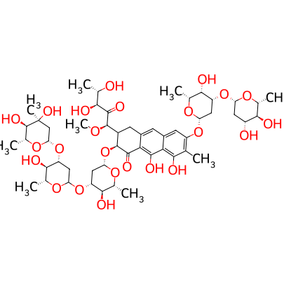 CO[C@@H](C(=O)[C@@H](O)[C@H](C)O)C1Cc2cc3cc(O[C@H]4C[C@@H](O[C@H]5C[C@@H](O)[C@H](O)[C@@H](C)O5)[C@@H](O)[C@@H](C)O4)c(C)c(O)c3c(O)c2C(=O)[C@H]1O[C@H]1C[C@@H](OC2C[C@@H](O[C@H]3C[C@](C)(O)[C@H](O)[C@@H](C)O3)[C@H](O)[C@@H](C)O2)[C@H](O)[C@@H](C)O1